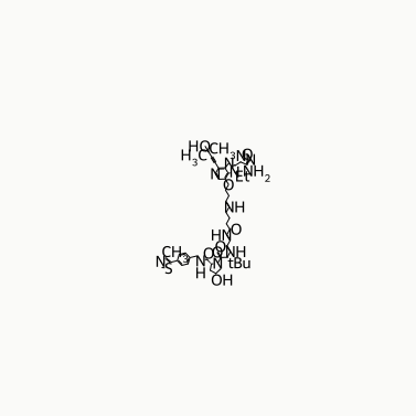 CCn1c(-c2nonc2N)nc2c(C#CC(C)(C)O)ncc(OCCCNCCCC(=O)NCC(=O)NC(C(=O)N3C[C@H](O)C[C@H]3C(=O)NCc3ccc(-c4scnc4C)cc3)C(C)(C)C)c21